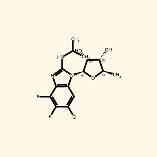 CC(C)Nc1nc2c(F)c(F)c(Cl)cc2n1[C@@H]1O[C@H](C)[C@@H](O)[C@H]1O